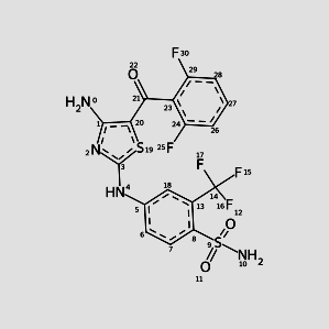 Nc1nc(Nc2ccc(S(N)(=O)=O)c(C(F)(F)F)c2)sc1C(=O)c1c(F)cccc1F